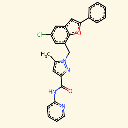 Cc1cc(C(=O)Nc2ccccn2)nn1Cc1cc(Cl)cc2cc(-c3ccccc3)oc12